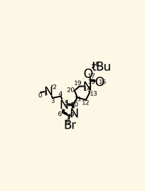 CN(C)CCn1cc(Br)nc1C1CCN(C(=O)OC(C)(C)C)CC1